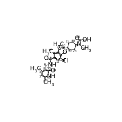 Cc1cc(C)c(CNC(=O)c2cc(Cl)c3c(c2C)OC(C)([C@H]2CC[C@H](N(C)C(=O)O)CC2)O3)c(=O)[nH]1